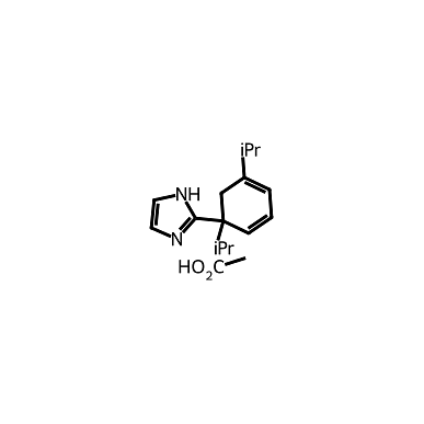 CC(=O)O.CC(C)C1=CC=CC(c2ncc[nH]2)(C(C)C)C1